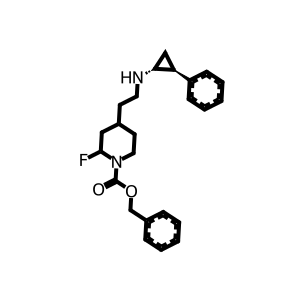 O=C(OCc1ccccc1)N1CCC(CCN[C@@H]2C[C@H]2c2ccccc2)CC1F